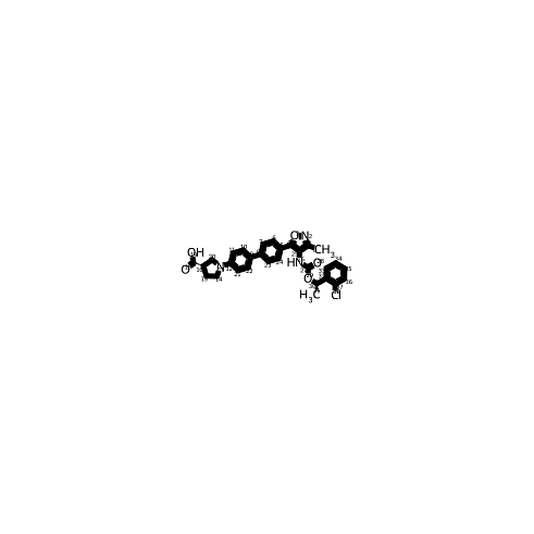 Cc1noc(-c2ccc(-c3ccc(N4CC[C@H](C(=O)O)C4)cc3)cc2)c1NC(=O)O[C@H](C)c1ccccc1Cl